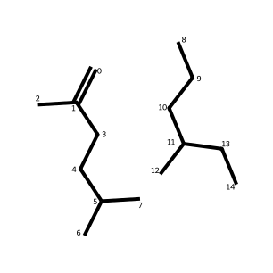 C=C(C)CCC(C)C.CCCC(C)CC